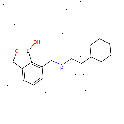 OB1OCc2cccc(CNCCC3CCCCC3)c21